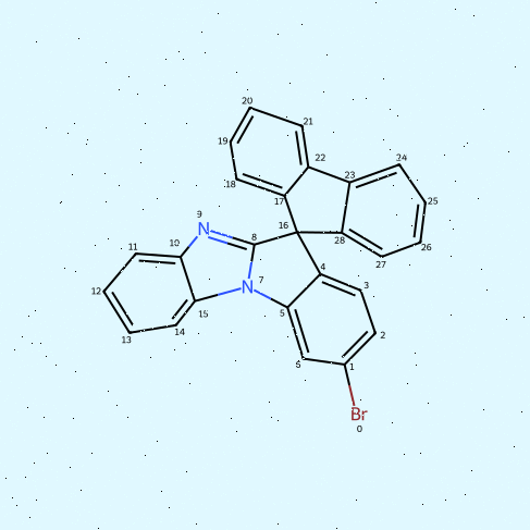 Brc1ccc2c(c1)-n1c(nc3ccccc31)C21c2ccccc2-c2ccccc21